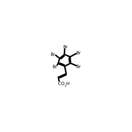 O=C(O)C=Cc1c(Br)c(Br)c(Br)c(Br)c1Br